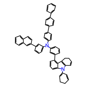 C1=CC(n2c3c(c4c(-c5cccc(N(c6ccc(-c7ccc(-c8ccccc8)cc7)cc6)c6cccc(-c7ccc8ccccc8c7)c6)c5)cccc42)CCC=C3)=CCC1